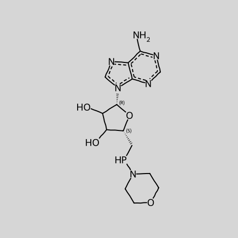 Nc1ncnc2c1ncn2[C@@H]1O[C@H](CPN2CCOCC2)C(O)C1O